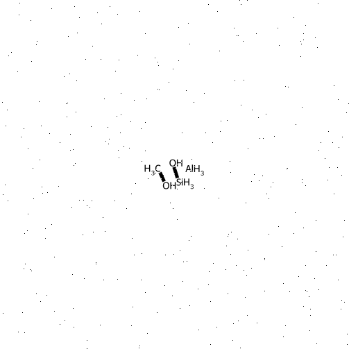 CO.O[SiH3].[AlH3]